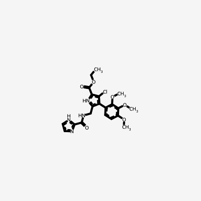 CCOC(=O)c1[nH]c(CNC(=O)c2ncc[nH]2)c(-c2ccc(OC)c(OC)c2OC)c1Cl